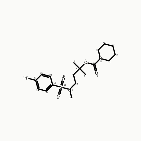 CN(CCC(C)(C)OC(=O)N1CCCCC1)S(=O)(=O)c1ccc(F)cc1